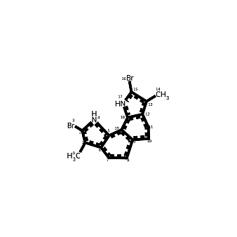 Cc1c(Br)[nH]c2c1ccc1ccc3c(C)c(Br)[nH]c3c12